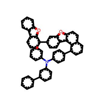 c1ccc(-c2cccc(N(c3ccccc3)c3ccc(-c4cccc5ccc6oc7cc(-c8cccc9c8oc8ccccc89)ccc7c6c45)cc3)c2)cc1